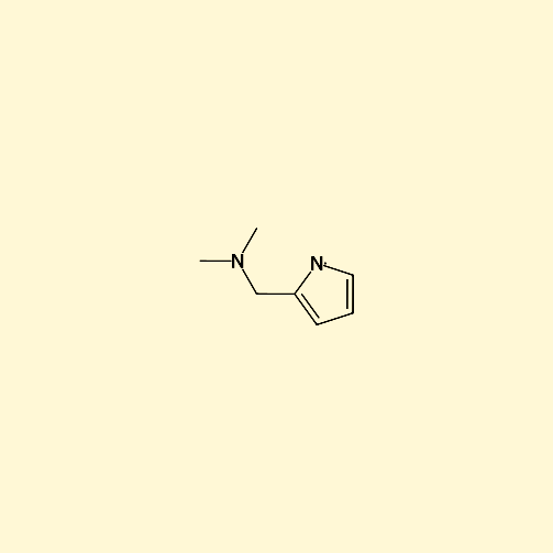 CN(C)CC1=CC=C[N]1